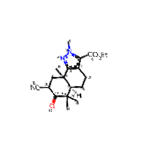 CCOC(=O)c1c2c(nn1C)[C@@]1(C)CC(C#N)C(=O)C(C)(C)[C@@H]1CC2